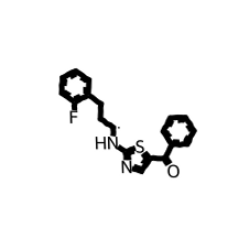 O=C(c1ccccc1)c1cnc(N[CH]CCc2ccccc2F)s1